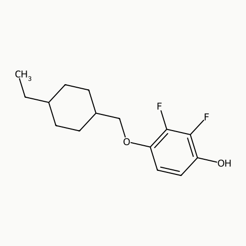 CCC1CCC(COc2ccc(O)c(F)c2F)CC1